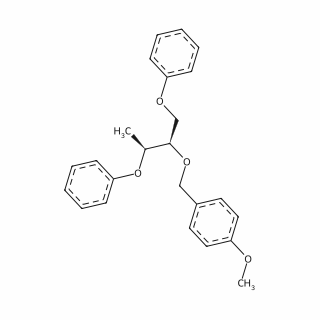 COc1ccc(CO[C@H](COc2ccccc2)[C@H](C)Oc2ccccc2)cc1